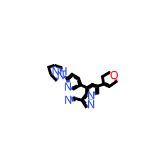 N#Cc1cnn2cc(C3=CCOCC3)cc(-c3ccc(N4CC5CC(C4)N5)nc3)c12